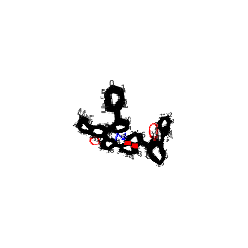 c1ccc(-c2ccc(N(c3ccc(-c4cccc5c4oc4ccccc45)cc3)c3c(-c4ccccc4)ccc4oc5c6ccccc6ccc5c34)cc2)cc1